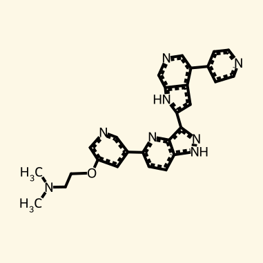 CN(C)CCOc1cncc(-c2ccc3[nH]nc(-c4cc5c(-c6ccncc6)cncc5[nH]4)c3n2)c1